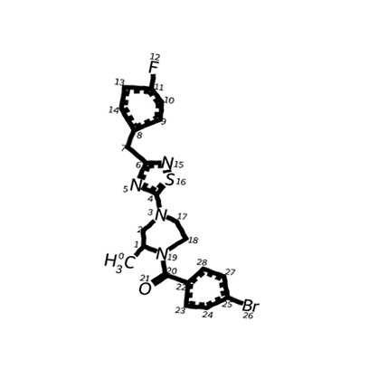 CC1CN(c2nc(Cc3ccc(F)cc3)ns2)CCN1C(=O)c1ccc(Br)cc1